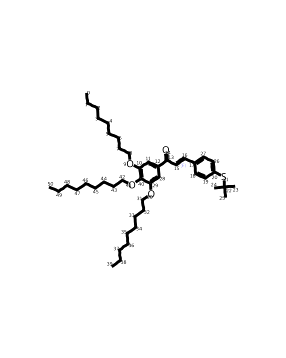 CCCCCCCCCOc1cc(C(=O)/C=C/c2ccc(SC(C)(C)C)cc2)cc(OCCCCCCCCC)c1OCCCCCCCCC